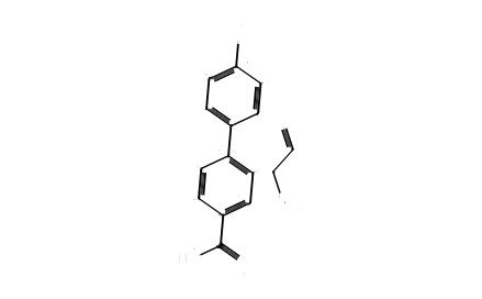 C=CCN.O=C(O)c1ccc(-c2ccc(O)cc2)cc1